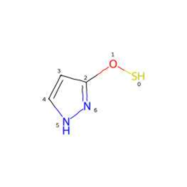 SOc1cc[nH]n1